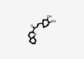 O=C(C=Cc1ccc(O)c(O)c1)c1ccc2ccccc2n1